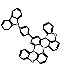 C1=Cc2c(n(-c3ccc(-c4cc5c6c(c4)N4c7ccccc7Oc7cccc(c74)B6c4cccc6c4N5c4ccccc4O6)cc3)c3ccccc23)CC1